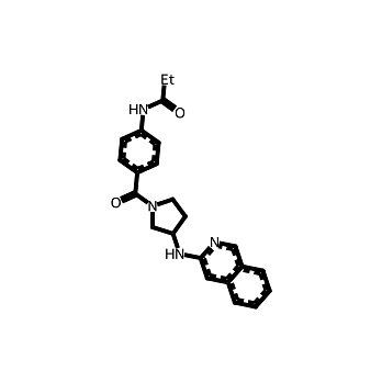 CCC(=O)Nc1ccc(C(=O)N2CCC(Nc3cc4ccccc4cn3)C2)cc1